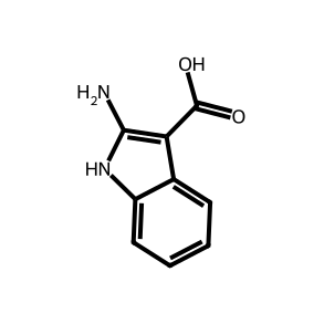 Nc1[nH]c2ccccc2c1C(=O)O